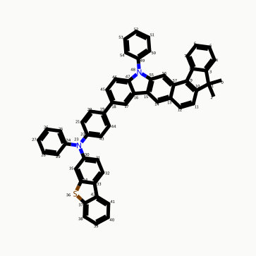 CC1(C)c2ccccc2-c2c1ccc1cc3c4cc(-c5ccc(N(c6ccccc6)c6ccc7c(c6)sc6ccccc67)cc5)ccc4n(-c4ccccc4)c3cc21